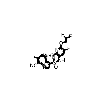 COc1nc(OCC(F)F)c(F)cc1NS(=O)(=O)c1cnn2c(C#N)c(C)ccc12